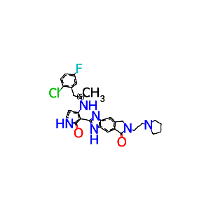 C[C@@H](Cc1cc(F)ccc1Cl)Nc1cc[nH]c(=O)c1-c1nc2cc3c(cc2[nH]1)C(=O)N(CCN1CCCC1)C3